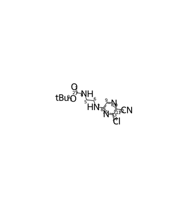 CC(C)(C)OC(=O)NCCNc1cnc(C#N)c(Cl)n1